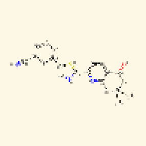 CC1(C)CC(=O)c2ccc(-c3ncc(-c4cccc(C#N)c4)s3)nc2C1